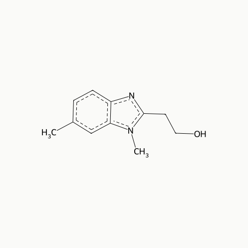 Cc1ccc2nc(CCO)n(C)c2c1